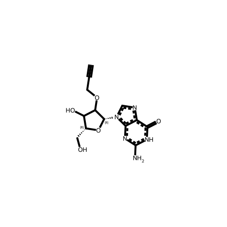 C#CCOC1C(O)[C@@H](CO)O[C@H]1n1cnc2c(=O)[nH]c(N)nc21